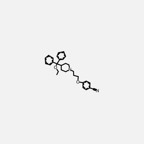 CCOC(c1ccccc1)(c1ccccc1)C1CCN(CCCOc2ccc(C#N)cc2)CC1